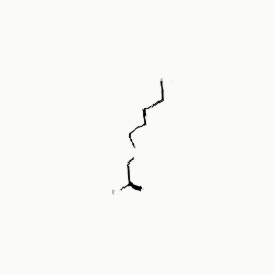 CCCCCOCC([NH])=O